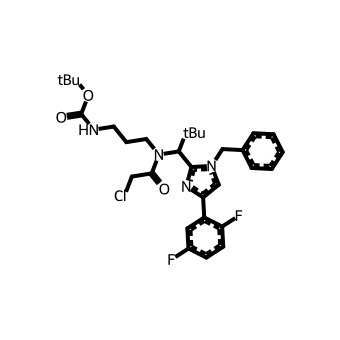 CC(C)(C)OC(=O)NCCCN(C(=O)CCl)C(c1nc(-c2cc(F)ccc2F)cn1Cc1ccccc1)C(C)(C)C